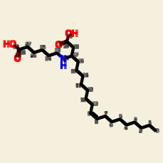 CCCCCCCC/C=C\CCCCCCCC(CC(=O)O)NCCCCCC(=O)O